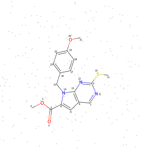 COC(=O)c1cc2cnc(SC)nc2n1Cc1ccc(OC)cc1